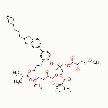 C=C(C)C(=O)OCCCc1cc(-c2ccc3c(c2)CC(CCCCCC)C3)ccc1OCC(COC(=O)C(=C)C)(COC(=O)C(=O)CCOC)COC(=O)C(=O)CCOC